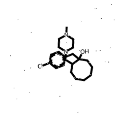 CN1CCN(CC2CCCCCCC2(O)Cc2ccc(Cl)cc2)CC1